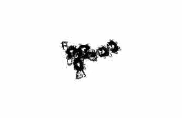 O=C(OC1(C2CCCC(c3cc(F)c[n+]([O-])c3)N2S(=O)(=O)c2ccc(Cl)cc2)CC1)N1CCC(N2CCCCC2)CC1